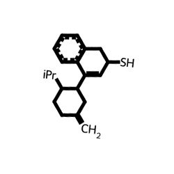 C=C1CCC(C(C)C)C(C2=CC(S)Cc3ccccc32)C1